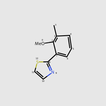 COc1c(C)cccc1-c1nccs1